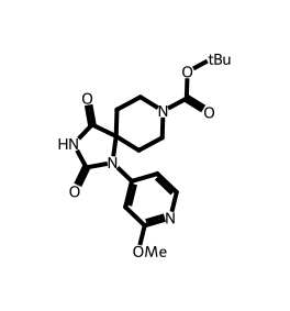 COc1cc(N2C(=O)NC(=O)C23CCN(C(=O)OC(C)(C)C)CC3)ccn1